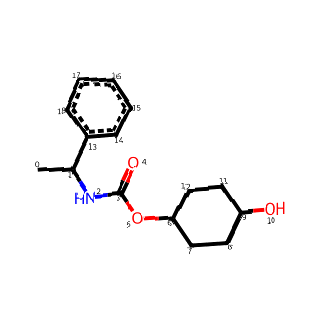 CC(NC(=O)OC1CCC(O)CC1)c1ccccc1